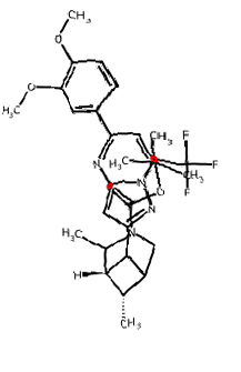 COc1ccc(-c2cc(C(F)(F)F)n3nc(C4C5CN(C(=O)OC(C)(C)C)C(C)[C@H]4[C@H]5C)cc3n2)cc1OC